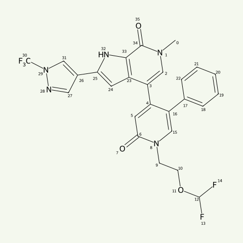 Cn1cc(-c2cc(=O)n(CCOC(F)F)cc2-c2ccccc2)c2cc(-c3cnn(C(F)(F)F)c3)[nH]c2c1=O